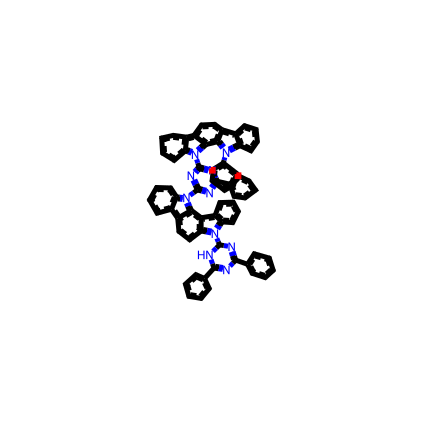 c1ccc(C2=NC(n3c4ccccc4c4c5c(ccc43)c3ccccc3n5-c3nc(-c4ccccc4)nc(-n4c5ccccc5c5ccc6c7ccccc7n(-c7ccccc7)c6c54)n3)NC(c3ccccc3)=N2)cc1